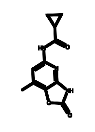 Cc1cc(NC(=O)C2CC2)nc2[nH]c(=O)oc12